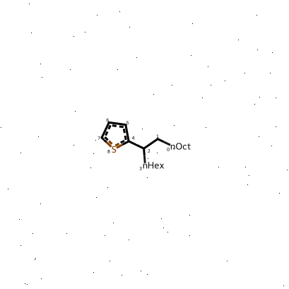 CCCCCCCCCC(CCCCCC)c1cccs1